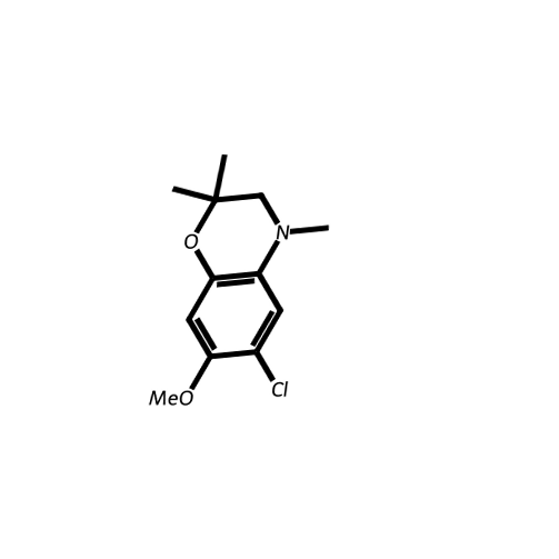 COc1cc2c(cc1Cl)N(C)CC(C)(C)O2